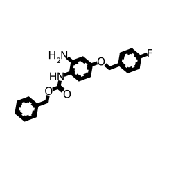 Nc1cc(OCc2ccc(F)cc2)ccc1NC(=O)OCc1ccccc1